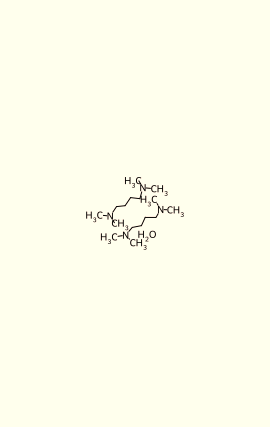 CN(C)CCCCN(C)C.CN(C)CCCCN(C)C.O